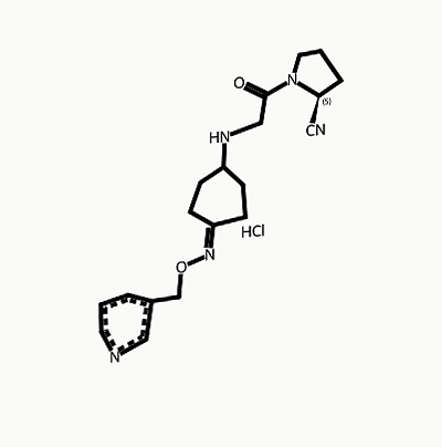 Cl.N#C[C@@H]1CCCN1C(=O)CNC1CCC(=NOCc2cccnc2)CC1